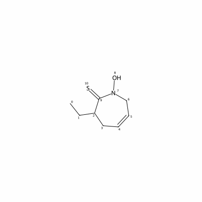 CCC1CC=CCN(O)C1=S